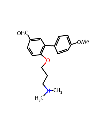 COc1ccc(-c2cc(C=O)ccc2OCCCN(C)C)cc1